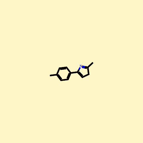 CC1=NC(c2ccc(C)cc2)=CC1